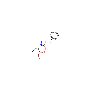 CC[C@@H](NC(=O)OCc1ccccc1)C(=O)OC